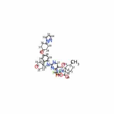 CC1CC2CC(C1)C(NC(=O)c1cnc(N3CC4(CCOCC4)c4cc(O[C@H]5CC[C@@H](n6cccn6)CC5)ccc43)nc1C(F)(F)F)(C(=O)O)C2